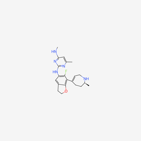 CNc1cc(C)nc(Nc2cc3c(c(C4=CCN[C@@H](C)CC4)c2F)OCC3)n1